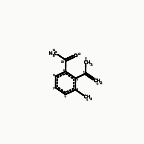 C=C(C)c1c(C)cccc1C(C)=O